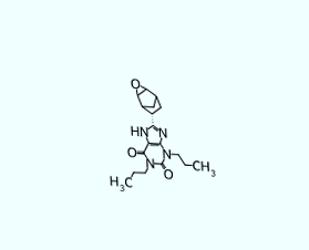 CCCn1c(=O)c2[nH]c([C@H]3CC4CC3C3OC43)nc2n(CCC)c1=O